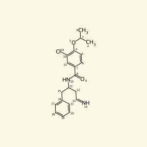 CC(C)Oc1ccc(C(=O)NC(CC=N)Cc2ccccc2)cc1Cl